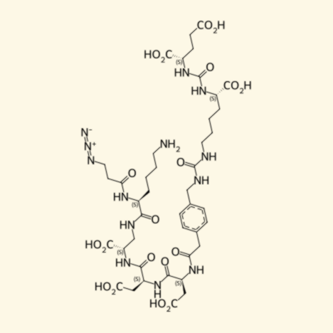 [N-]=[N+]=NCCC(=O)N[C@@H](CCCCN)C(=O)NC[C@H](NC(=O)[C@H](CC(=O)O)NC(=O)[C@H](CC(=O)O)NC(=O)Cc1ccc(CNC(=O)NCCCC[C@H](NC(=O)N[C@@H](CCC(=O)O)C(=O)O)C(=O)O)cc1)C(=O)O